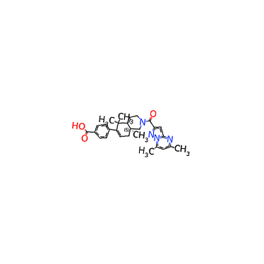 Cc1cc(C)n2nc(C(=O)N3CC=C4C(C)(C)C(c5ccc(C(=O)O)cc5)=CC[C@]4(C)C3)cc2n1